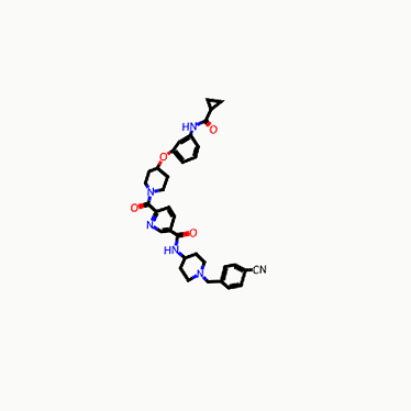 N#Cc1ccc(CN2CCC(NC(=O)c3ccc(C(=O)N4CCC(Oc5cccc(NC(=O)C6CC6)c5)CC4)nc3)CC2)cc1